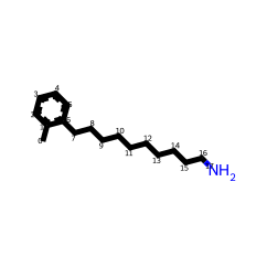 Cc1ccccc1CCCCCCCCCCN